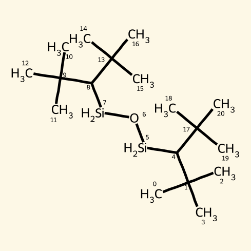 CC(C)(C)C([SiH2]O[SiH2]C(C(C)(C)C)C(C)(C)C)C(C)(C)C